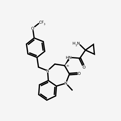 CN1C(=O)[C@H](NC(=O)C2(N)CC2)CN(Cc2ccc(OC(F)(F)F)cc2)c2ccccc21